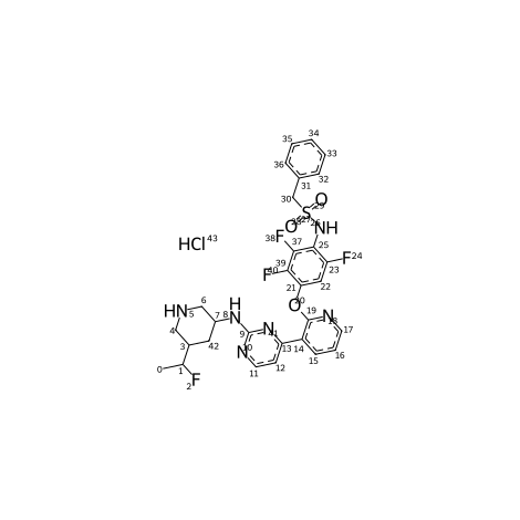 CC(F)C1CNCC(Nc2nccc(-c3cccnc3Oc3cc(F)c(NS(=O)(=O)Cc4ccccc4)c(F)c3F)n2)C1.Cl